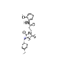 CCc1ccc(/C=C2\SC(=S)N(CCC(=O)Nc3ccccc3OC)C2=O)cc1